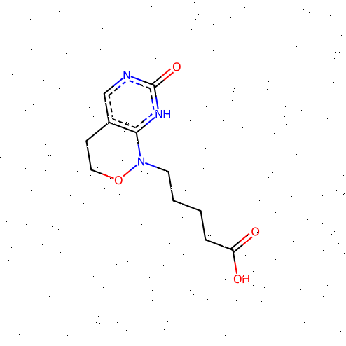 O=C(O)CCCCN1OCCc2cnc(=O)[nH]c21